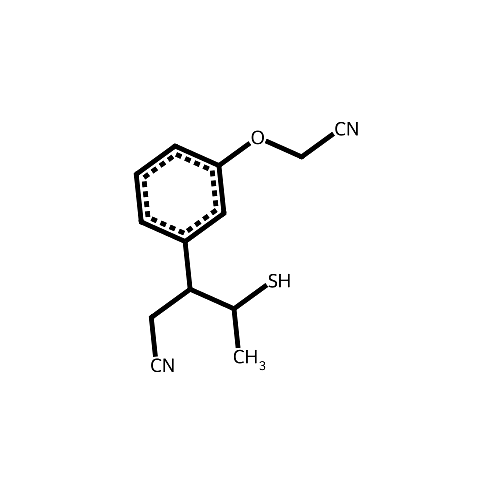 CC(S)C(CC#N)c1cccc(OCC#N)c1